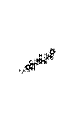 O=C(NCCC(=O)c1ccccc1)C1=CN(CCNC(=O)c2ccc(C(F)(F)F)cc2F)NN1